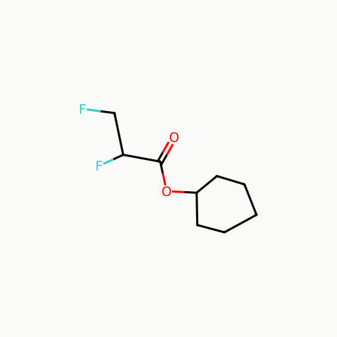 O=C(OC1CCCCC1)C(F)CF